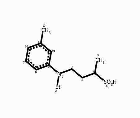 CCN(CCC(C)S(=O)(=O)O)c1cccc(C)c1